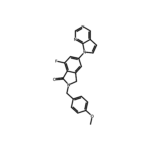 COc1ccc(CN2Cc3cc(-n4ccc5cncnc54)cc(F)c3C2=O)cc1